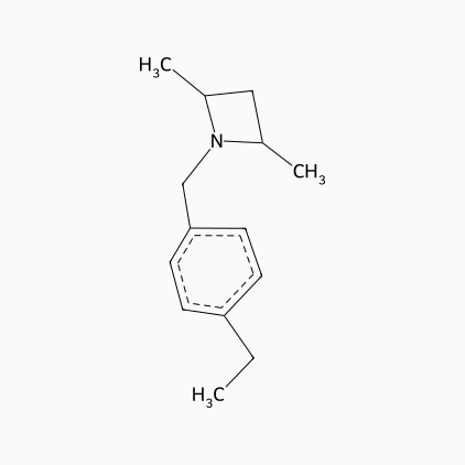 CCc1ccc(CN2C(C)CC2C)cc1